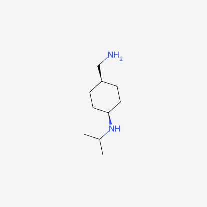 CC(C)N[C@H]1CC[C@@H](CN)CC1